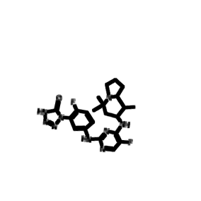 CC1C(Nc2nc(Nc3ccc(F)c(-n4nn[nH]c4=O)c3)ncc2F)CC(C)(C)N2CCCC12